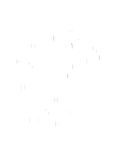 [2H]c1c(C([2H])([2H])[C@]2([2H])N([2H])C(=O)OC2([2H])[2H])c([2H])c2c(CCN(C)C([2H])([2H])[2H])c([2H])n([2H])c2c1[2H]